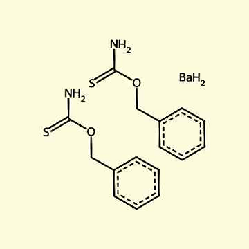 NC(=S)OCc1ccccc1.NC(=S)OCc1ccccc1.[BaH2]